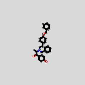 CC(C(=O)C1=CCC(=O)C=C1)N(CCc1ccc(OCc2ccccc2)cc1)Cc1ccccc1